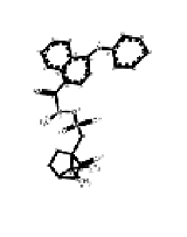 CN(OS(=O)(=O)CC12CCC(CC1=O)C2(C)C)C(=O)c1ccc(Sc2ccccc2)c2ccccc12